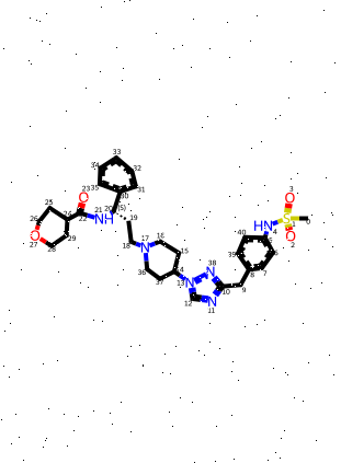 CS(=O)(=O)Nc1ccc(Cc2ncn(C3CCN(CC[C@H](NC(=O)C4CCOCC4)c4ccccc4)CC3)n2)cc1